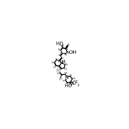 C=C1[C@H](O)CC(=C/C=C2\CCC[C@]3(C)[C@@H](C[C@H](C)CN4CCC(O)(C(F)(F)F)CC4)CC[C@@H]23)C[C@H]1O